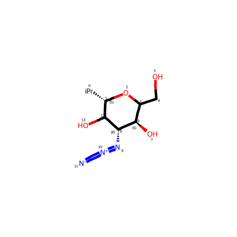 CC(C)[C@@H]1OC(CO)[C@@H](O)[C@H](N=[N+]=[N-])C1O